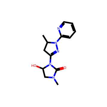 CC1CC(N2C(=O)N(C)CC2O)=NN1c1ccccn1